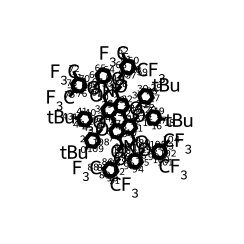 CC(C)(C)c1ccc(Oc2cc3c4c(cc(Oc5ccc(C(C)(C)C)cc5)c5c6c(Oc7ccc(C(C)(C)C)cc7)cc7c8c(cc(Oc9ccc(C(C)(C)C)cc9)c(c2c45)c86)C(=O)N(c2c(Oc4cc(C(F)(F)F)cc(C(F)(F)F)c4)cccc2Oc2cc(C(F)(F)F)cc(C(F)(F)F)c2)C7=O)C(=O)N(c2c(Oc4cc(C(F)(F)F)cc(C(F)(F)F)c4)cccc2Oc2cc(C(F)(F)F)cc(C(F)(F)F)c2)C3=O)cc1